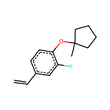 C=Cc1ccc(OC2(C)CCCC2)c(F)c1